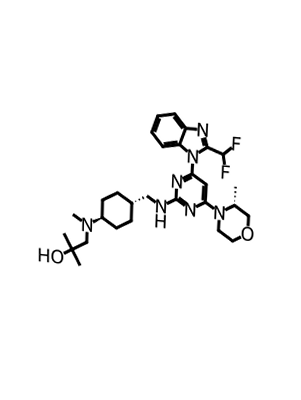 C[C@@H]1COCCN1c1cc(-n2c(C(F)F)nc3ccccc32)nc(NC[C@H]2CC[C@H](N(C)CC(C)(C)O)CC2)n1